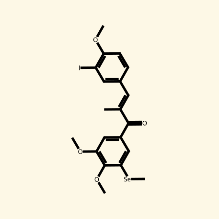 COc1ccc(/C=C(\C)C(=O)c2cc(OC)c(OC)c([Se]C)c2)cc1I